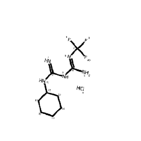 Cl.N=C(NC(N)=NC(F)(F)F)NC1CCCCC1